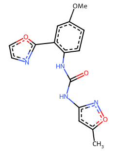 COc1ccc(NC(=O)Nc2cc(C)on2)c(-c2ncco2)c1